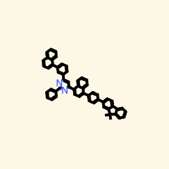 CC1(C)c2ccccc2-c2ccc(-c3ccc(-c4ccc(-c5cc(-c6cccc(-c7cccc8ccccc78)c6)nc(-c6ccccc6)n5)c5ccccc45)cc3)cc21